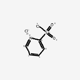 O=S(=O)(Cl)C1=CC=CC=[N+]1.[Cl-]